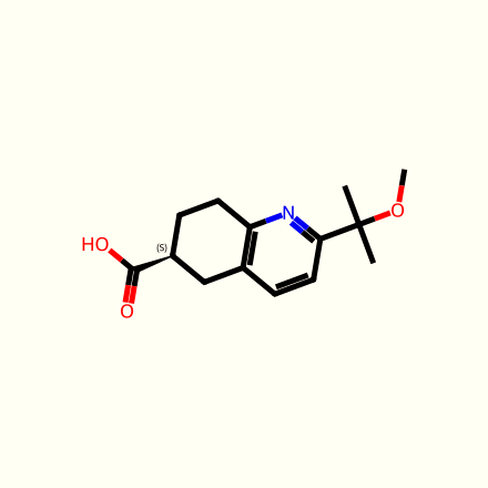 COC(C)(C)c1ccc2c(n1)CC[C@H](C(=O)O)C2